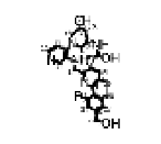 C[C@@H]1C[C@H](NC(=O)O)CN(c2ccncc2NCc2ccc(F)c(-c3c(F)cc(CO)cc3F)n2)C1